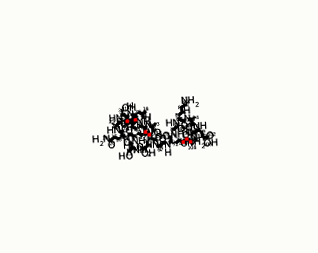 CSCC[C@H](NC(=O)[C@@H](N)CO)C(=O)N[C@@H](CCC(N)=O)C(=O)N[C@@H](C)C(=O)N[C@@H](CO)C(=O)N[C@@H](CC(C)C)C(=O)N[C@@H](CCC(=O)O)C(=O)N[C@@H](C)C(=O)N[C@@H](CCC(=O)O)C(=O)N[C@@H](C)C(=O)N[C@@H](CCCCN)C(=O)NCC(=O)N[C@@H](CCCCN)C(=O)N[C@@H](C)C(=O)N[C@@H](CCC(=O)O)C(=O)N[C@@H](C)C(=O)O